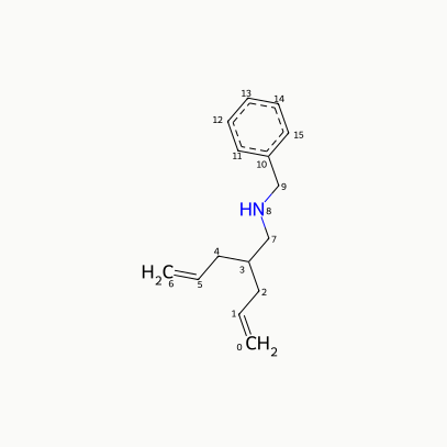 C=CCC(CC=C)CNCc1ccccc1